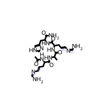 CC(=O)NC(C/C=C/N=C\N)C(=O)NC(C)C(=O)NC(C/C=C/N=C\N)C(=O)NC(Cc1c[nH]cn1)C(N)=O